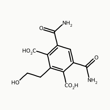 NC(=O)c1cc(C(N)=O)c(C(=O)O)c(CCO)c1C(=O)O